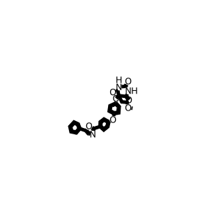 COCCC1(Oc2ccc(Oc3ccc(-c4ncc(-c5ccccc5)o4)cc3)cc2)C(=O)NC(=O)NC1=O